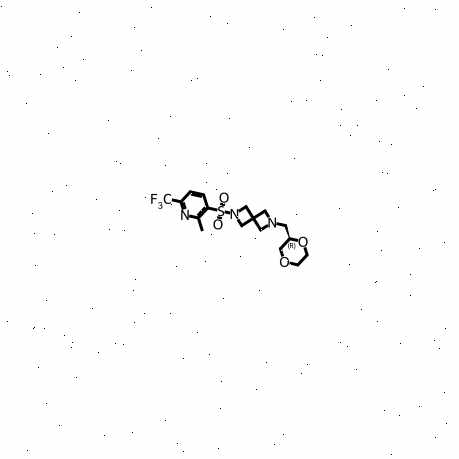 Cc1nc(C(F)(F)F)ccc1S(=O)(=O)N1CC2(CN(C[C@@H]3COCCO3)C2)C1